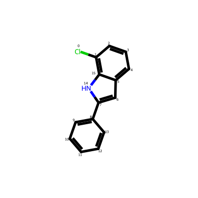 Clc1cccc2cc(-c3ccccc3)[nH]c12